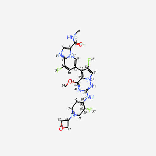 CNC(=O)c1cnc2c(F)cc(-c3c(F)cn4nc(N[C@@H]5CCN(C6COC6)C[C@@H]5F)nc(OC)c34)cn12